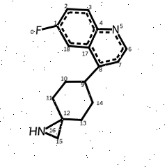 Fc1ccc2nccc(C3CCC4(CC3)CN4)c2c1